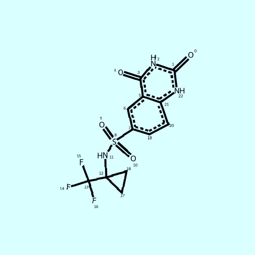 O=c1[nH]c(=O)c2cc(S(=O)(=O)NC3(C(F)(F)F)CC3)ccc2[nH]1